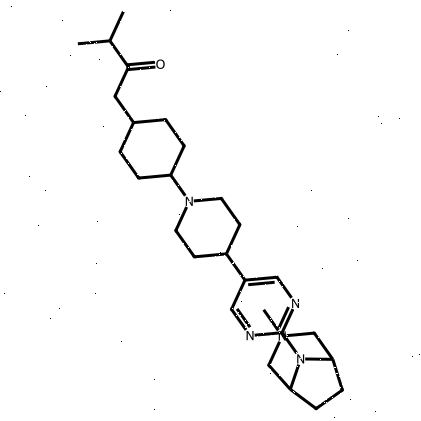 CC(C)C(=O)CC1CCC(N2CCC(c3cnc(N4C5CCC4CN(C)C5)nc3)CC2)CC1